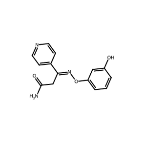 NC(=O)C/C(=N\Oc1cccc(O)c1)c1ccncc1